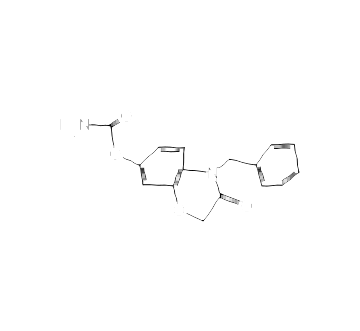 NC(=O)Oc1ccc2c(c1)OCC(=O)N2Cc1ccccc1